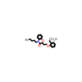 CC(=O)CCCCN1C(=O)C(CCOc2ccccc2CC(=O)O)Oc2ccccc21